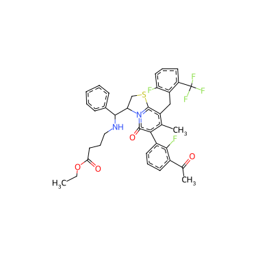 CCOC(=O)CCCNC(c1ccccc1)C1CSc2c(Cc3c(F)cccc3C(F)(F)F)c(C)c(-c3cccc(C(C)=O)c3F)c(=O)n21